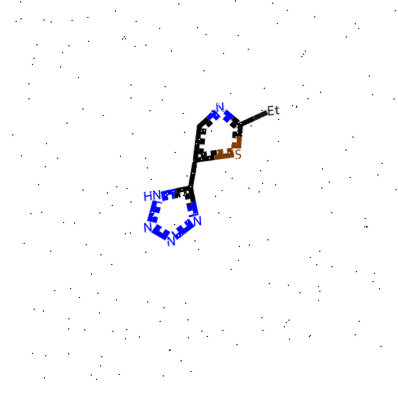 CCc1ncc(-c2nnn[nH]2)s1